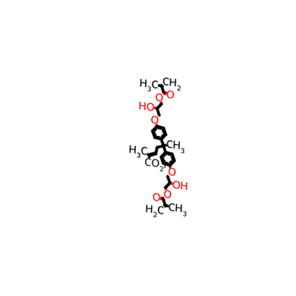 C=C(C)C(=O)OCC(O)COc1ccc(C(C)(CC=C(C)C(=O)O)c2ccc(OCC(O)COC(=O)C(=C)C)cc2)cc1